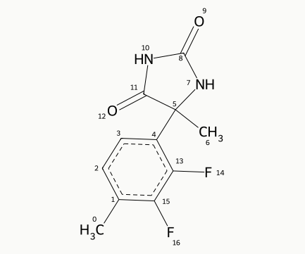 Cc1ccc(C2(C)NC(=O)NC2=O)c(F)c1F